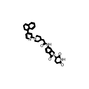 O=C1CCC(N2Cc3cc(NC(=O)CC4CCN(c5cc(C6=c7ccccc7=CCC6)ccn5)CC4)ccc3C2=O)C(=O)N1